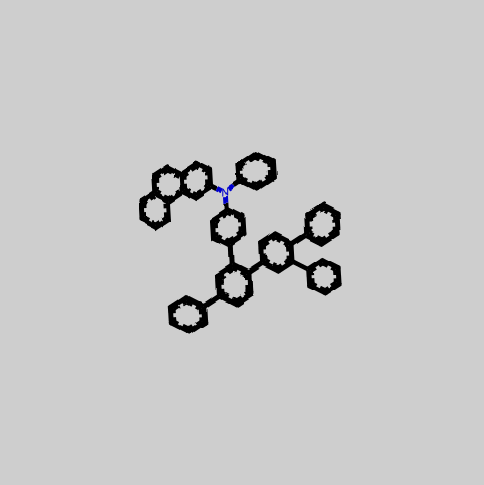 c1ccc(-c2ccc(-c3ccc(-c4ccccc4)c(-c4ccccc4)c3)c(-c3ccc(N(c4ccccc4)c4ccc5ccc6ccccc6c5c4)cc3)c2)cc1